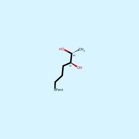 CCCCCCCC[C@H](O)[C@@H](C)O